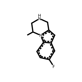 CC1CNCc2cc3cc(F)ccc3n21